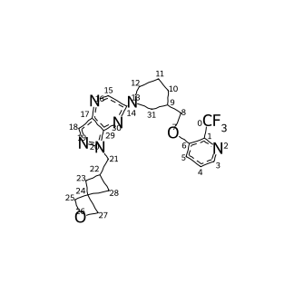 FC(F)(F)c1ncccc1OCC1CCCN(c2cnc3cnn(CC4CC5(COC5)C4)c3n2)C1